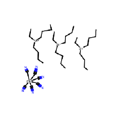 CCC[CH2][Sn+]([CH2]C)[CH2]CCC.CCC[CH2][Sn+]([CH2]C)[CH2]CCC.CCC[CH2][Sn+]([CH2]C)[CH2]CCC.N#[C][Fe-3]([C]#N)([C]#N)([C]#N)([C]#N)[C]#N